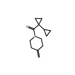 C=C1CCN(C(=O)C2(C3CC3)CC2)CC1